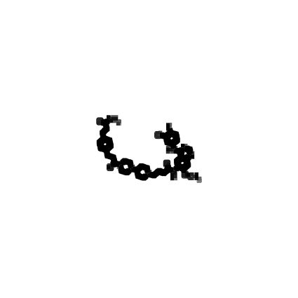 COc1cc2ncnc(Nc3ccc(F)c(Cl)c3)c2cc1NC(=O)/C=C/CN1CCC(N2CCN(C(=O)CCc3ccc(CCC(N)=O)cc3)CC2)CC1